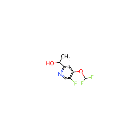 CC(O)c1cc(OC(F)F)c(F)cn1